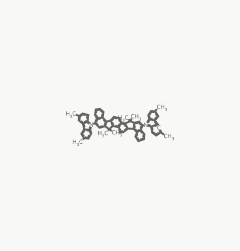 Cc1ccc2c(c1)c1cc(C)ccc1n2-c1cc2c(c3ccccc13)-c1ccc3c4c(ccc3c1C2(C)C)-c1c(cc(-n2c3ccc(C)cc3c3cc(C)ccc32)c2ccccc12)C4(C)C